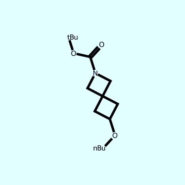 CCCCOC1CC2(C1)CN(C(=O)OC(C)(C)C)C2